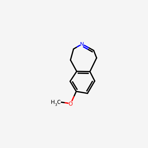 COc1ccc2c(c1)CCN=CC2